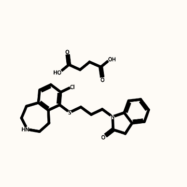 O=C(O)CCC(=O)O.O=C1Cc2ccccc2N1CCCSc1c(Cl)ccc2c1CCNCC2